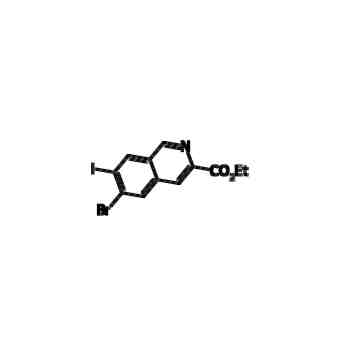 CCOC(=O)c1cc2cc(Br)c(I)cc2cn1